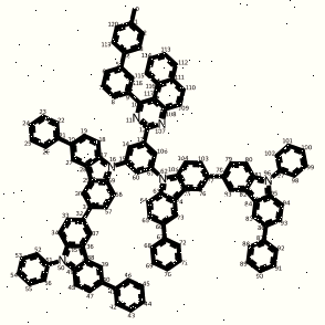 Cc1ccc(-c2cccc(-c3nc(-c4cc(-n5c6ccc(-c7ccccc7)cc6c6cc(-c7ccc8c(c7)c7cc(-c9ccccc9)ccc7n8-c7ccccc7)ccc65)cc(-n5c6ccc(-c7ccccc7)cc6c6cc(-c7ccc8c(c7)c7cc(-c9ccccc9)ccc7n8-c7ccccc7)ccc65)c4)nc4ccc5ccccc5c34)c2)cc1